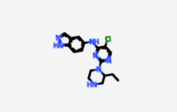 CCC1CNCCN1c1ncc(Cl)c(Nc2ccc3[nH]ncc3c2)n1